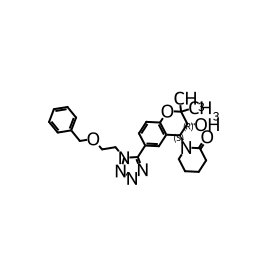 CC1(C)Oc2ccc(-c3nnnn3CCOCc3ccccc3)cc2[C@H](N2CCCCC2=O)[C@H]1O